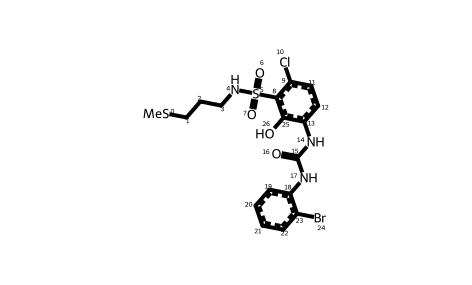 CSCCCNS(=O)(=O)c1c(Cl)ccc(NC(=O)Nc2ccccc2Br)c1O